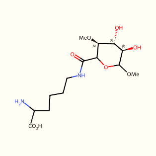 COC1OC(C(=O)NCCCCC(N)C(=O)O)[C@@H](OC)[C@H](O)[C@H]1O